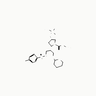 Cc1ccc(S(=O)(=O)NCC(COC2CCCCO2)[C@@H]2C[C@@H](O[Si](C)(C)C(C)(C)C)CN2C(=O)OC(C)(C)C)cc1